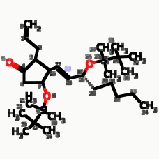 C=CCC1C(=O)CC(O[Si](C)(C)C(C)(C)C)C1/C=C/[C@@H](CCCCC)O[Si](C)(C)C(C)(C)C